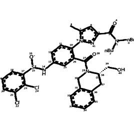 CCCCN(CCCC)C(=O)c1cc(C)n(-c2ccc(N[S+]([O-])c3cccc(Cl)c3Cl)cc2C(=O)N2Cc3ccccc3C[C@H]2CO)n1